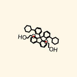 OCCOc1c(C2CCCCC2)cccc1C1(c2cccc(C3CCCCC3)c2OCCO)c2ccccc2-c2ccccc21